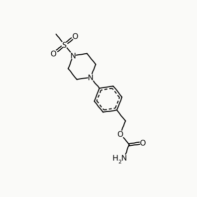 CS(=O)(=O)N1CCN(c2ccc(COC(N)=O)cc2)CC1